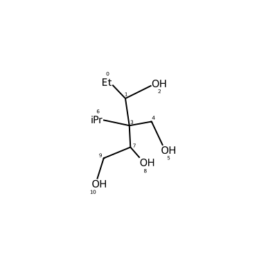 CCC(O)C(CO)(C(C)C)C(O)CO